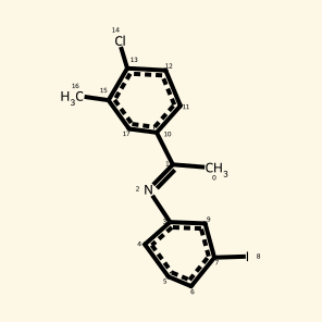 C/C(=N\c1cccc(I)c1)c1ccc(Cl)c(C)c1